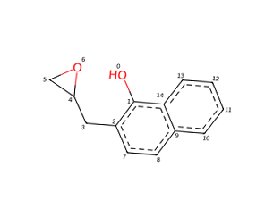 Oc1c(CC2CO2)ccc2ccccc12